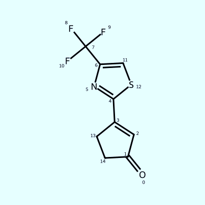 O=C1C=C(c2nc(C(F)(F)F)cs2)CC1